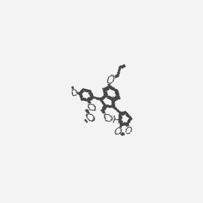 CCCOc1ccc2c(c1)C(c1ccc(OC)cc1OCOC)C(CO)C2c1ccc2c(c1)OCO2